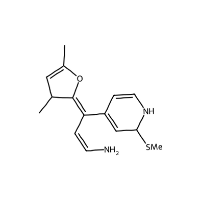 CSC1C=C(C(/C=C\N)=C2\OC(C)=CC2C)C=CN1